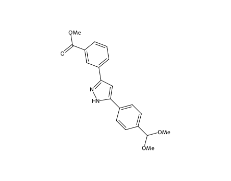 COC(=O)c1cccc(-c2cc(-c3ccc(C(OC)OC)cc3)[nH]n2)c1